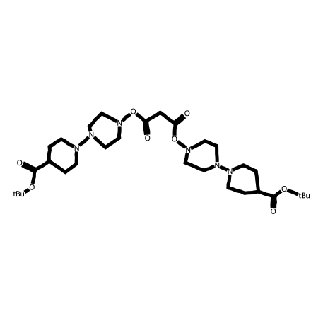 CC(C)(C)OC(=O)C1CCN(N2CCN(OC(=O)CC(=O)ON3CCN(N4CCC(C(=O)OC(C)(C)C)CC4)CC3)CC2)CC1